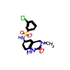 CN1Cc2cc(NS(=O)(=O)c3cccc(Cl)c3)ccc2NC1=O